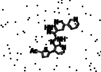 CC(=O)c1ccc(-c2ccnc3[nH]c(-c4n[nH]c5ncc(-c6cccnc6)cc45)nc23)s1